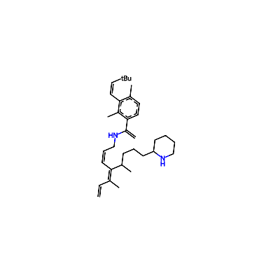 C=C/C(C)=C(\C=C/CNC(=C)c1ccc(C)c(/C=C\C(C)(C)C)c1C)C(C)CCCC1CCCCN1